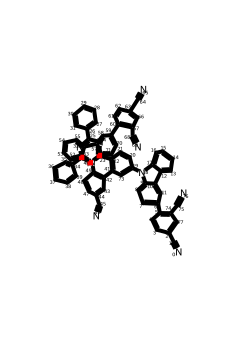 N#Cc1ccc(-c2ccc3c(c2)c2ccccc2n3-c2ccc(-c3nc(-c4ccccc4)nc(-c4ccccc4)n3)c(-c3cc(C#N)ccc3-n3c4ccccc4c4cc(-c5ccc(C#N)cc5C#N)ccc43)c2)c(C#N)c1